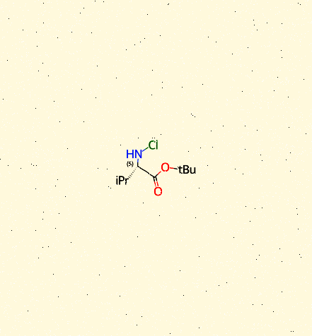 CC(C)[C@H](NCl)C(=O)OC(C)(C)C